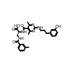 Cc1cccc(C(=O)NC[C@H](NC(=O)c2c(C)nc(NCCCc3cccc(O)c3)nc2C)C(=O)O)c1